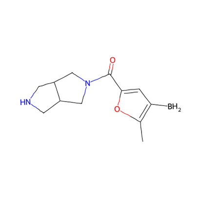 Bc1cc(C(=O)N2CC3CNCC3C2)oc1C